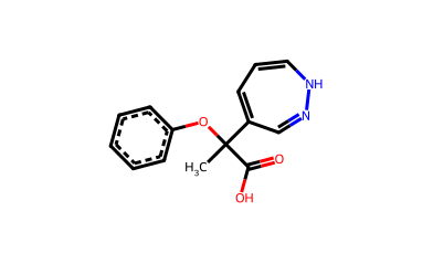 CC(Oc1ccccc1)(C(=O)O)C1=CC=CNN=C1